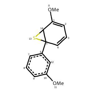 COC1=CC=CC2(c3cccc(OC)c3)SC12